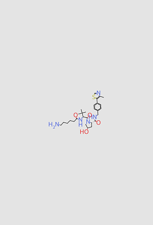 Cc1ncsc1-c1ccc(CNC(=O)[C@@H]2C[C@@H](O)CN2C(=O)[C@@H](NC(=O)CCCCCN)C(C)(C)C)cc1